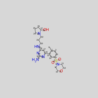 Cc1ccc(S(=O)(=O)N2CCOCC2)cc1-c1cc(NCCCN2CCCC2O)nc(N)n1